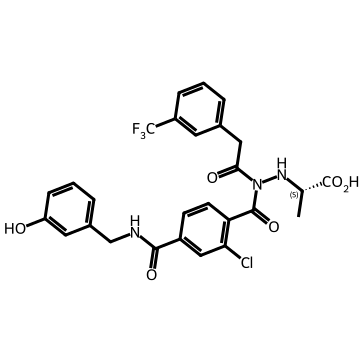 C[C@H](NN(C(=O)Cc1cccc(C(F)(F)F)c1)C(=O)c1ccc(C(=O)NCc2cccc(O)c2)cc1Cl)C(=O)O